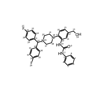 O=C(Nc1ccccc1)Nc1cc(CO)ccc1N1CCN(C(c2ccc(F)cc2)c2ccc(F)cc2)CC1